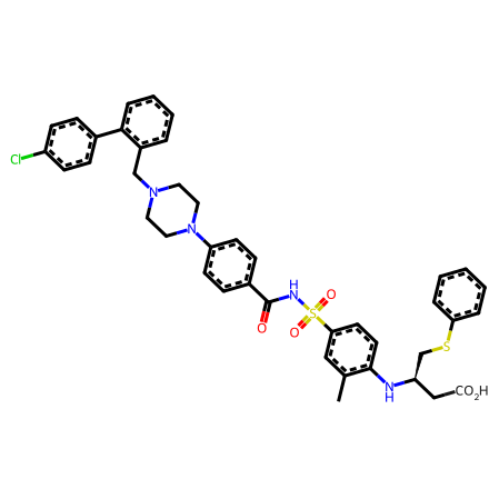 Cc1cc(S(=O)(=O)NC(=O)c2ccc(N3CCN(Cc4ccccc4-c4ccc(Cl)cc4)CC3)cc2)ccc1N[C@@H](CSc1ccccc1)CC(=O)O